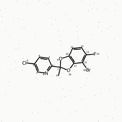 CC1(c2ccc(Cl)cn2)Oc2ccc(F)c(Br)c2O1